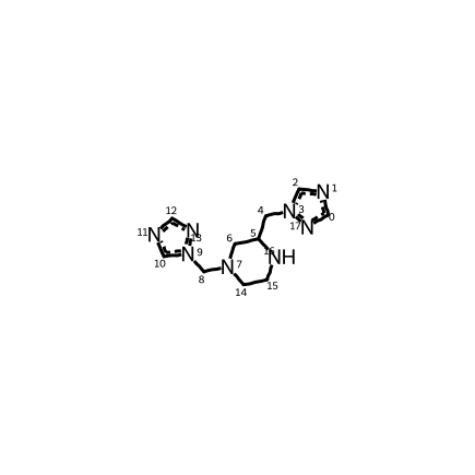 c1ncn(CC2CN(Cn3cncn3)CCN2)n1